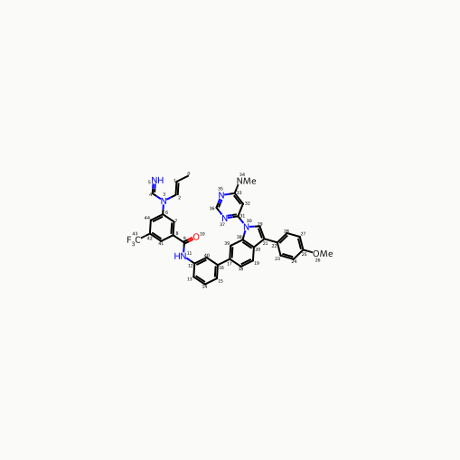 C/C=C/N(C=N)c1cc(C(=O)Nc2cccc(-c3ccc4c(-c5ccc(OC)cc5)cn(-c5cc(NC)ncn5)c4c3)c2)cc(C(F)(F)F)c1